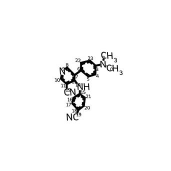 CN(C)c1ccc(-c2cncc(C#N)c2Nc2ccc(C#N)cc2)cc1